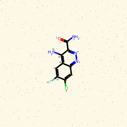 NC(=O)c1nnc2cc(Cl)c(F)cc2c1N